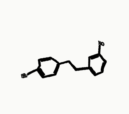 CC(C)(C)c1ccc(CCc2cccc(N=O)c2)cc1